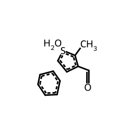 Cc1sccc1C=O.O.c1ccccc1